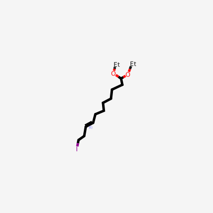 CCOC(CCCCCC/C=C/CCI)OCC